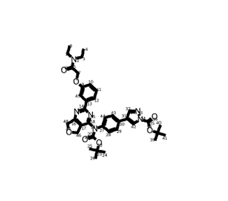 CCN(CC)C(=O)COc1cccc(-c2nc3c(c(N(C(=O)OC(C)(C)C)c4ccc(-c5cnn(C(=O)OC(C)(C)C)c5)cc4)n2)COC3)c1